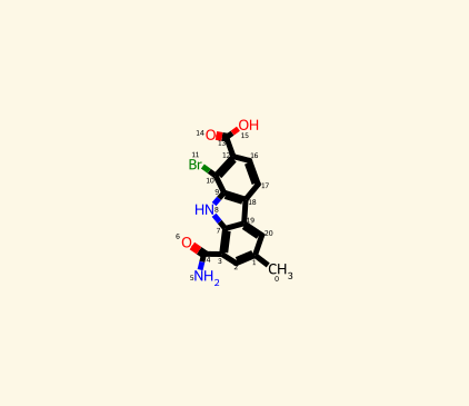 Cc1cc(C(N)=O)c2[nH]c3c(Br)c(C(=O)O)ccc3c2c1